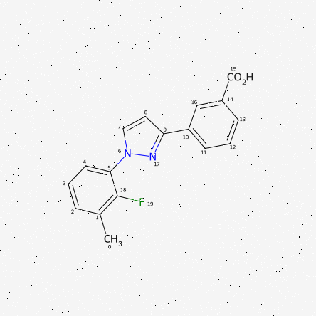 Cc1cccc(-n2ccc(-c3cccc(C(=O)O)c3)n2)c1F